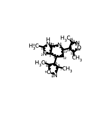 Cc1nc2c(-c3c(C)noc3C)cc(-c3c(C)noc3C)nc2[nH]1